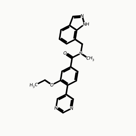 CCOc1cc(C(=O)N(C)Cc2cccc3cn[nH]c23)ccc1-c1cncnc1